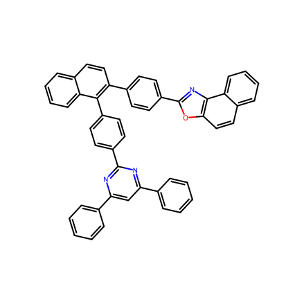 c1ccc(-c2cc(-c3ccccc3)nc(-c3ccc(-c4c(-c5ccc(-c6nc7c(ccc8ccccc87)o6)cc5)ccc5ccccc45)cc3)n2)cc1